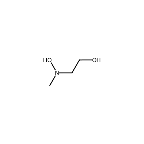 CN(O)CCO